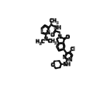 C[C@@H](NC(=O)CN1Cc2ccc(-c3nc(NC4CCOCC4)ncc3Cl)cc2C1=O)c1cccc(N(C)C)n1